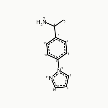 CC(N)c1ccc(-n2cccn2)cc1